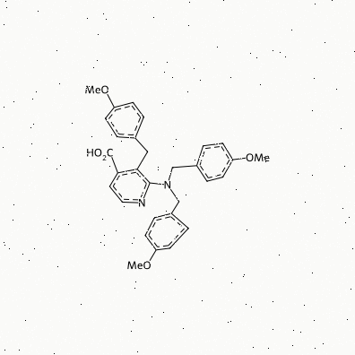 COc1ccc(Cc2c(C(=O)O)ccnc2N(Cc2ccc(OC)cc2)Cc2ccc(OC)cc2)cc1